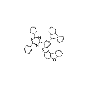 c1ccc(-c2nc(-c3ccccc3)nc(-c3cc(-n4c5ccccc5c5ccccc54)cc4c3sc3ccc5oc6ccccc6c5c34)n2)cc1